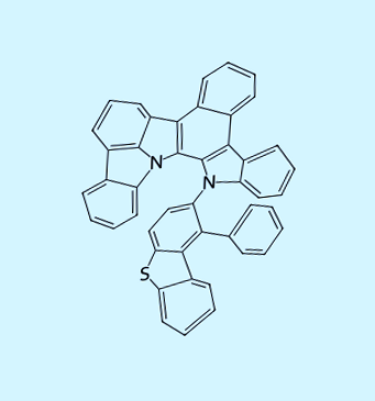 c1ccc(-c2c(-n3c4ccccc4c4c5ccccc5c5c6cccc7c8ccccc8n(c76)c5c43)ccc3sc4ccccc4c23)cc1